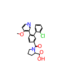 COc1ccncc1-c1ccc(C(=O)N2CCCC2C(=O)O)cc1-c1ccccc1Cl